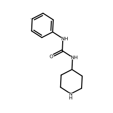 O=C(Nc1cc[c]cc1)NC1CCNCC1